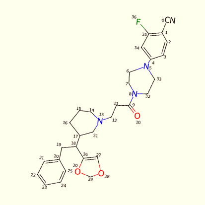 N#Cc1ccc(N2CCN(C(=O)CCN3CCCC(C(Cc4ccccc4)C4=COCO4)C3)CC2)cc1F